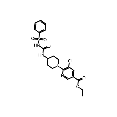 CCOC(=O)c1cnc(N2CCC(NC(=O)NS(=O)(=O)c3ccccc3)CC2)c(Cl)c1